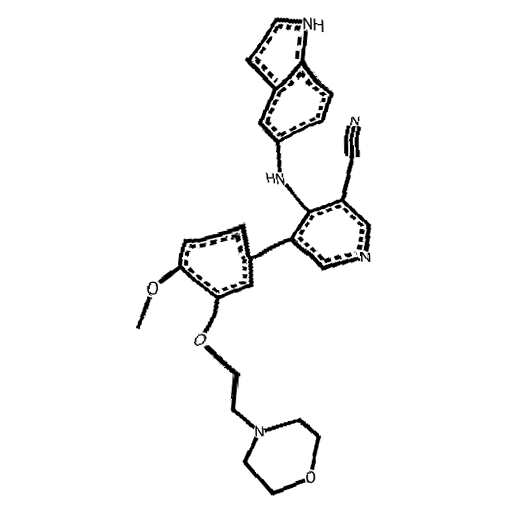 COc1ccc(-c2cncc(C#N)c2Nc2ccc3[nH]ccc3c2)cc1OCCN1CCOCC1